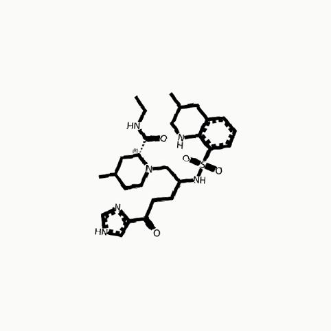 CCNC(=O)[C@H]1CC(C)CCN1CC(CCC(=O)c1c[nH]cn1)NS(=O)(=O)c1cccc2c1NCC(C)C2